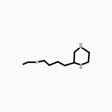 CCCCCCCC1CNCCN1